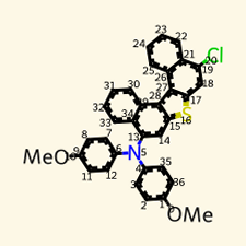 COc1ccc(N(c2ccc(OC)cc2)c2cc3sc4cc(Cl)c5ccccc5c4c3c3ccccc23)cc1